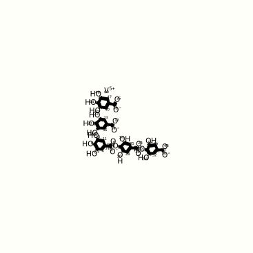 O=C([O-])c1cc(O)c(O)c(O)c1.O=C([O-])c1cc(O)c(O)c(O)c1.O=C([O-])c1cc(O)c(O)c(O)c1.O=C([O-])c1cc(O)c(O)c(O)c1.O=C([O-])c1cc(O)c(O)c(O)c1.[V+5]